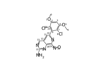 COc1cc(OC)c(Cl)c(-c2cc3cnc(N)nc3c(N=O)n2)c1Cl